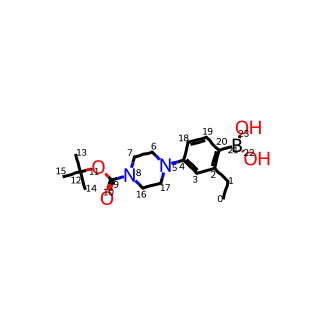 CCc1cc(N2CCN(C(=O)OC(C)(C)C)CC2)ccc1B(O)O